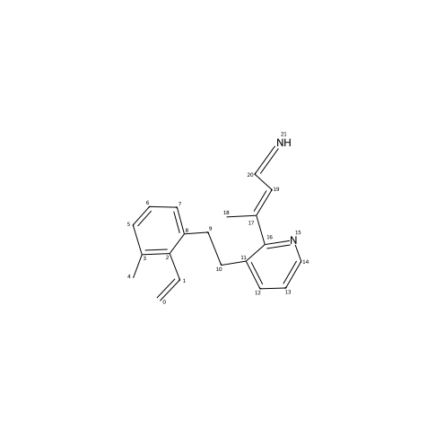 C=Cc1c(C)cccc1CCc1cccnc1/C(C)=C/C=N